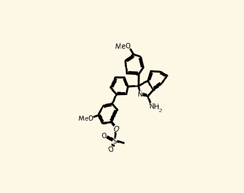 COc1ccc(C2(c3cccc(-c4cc(OC)cc(OS(C)(=O)=O)c4)c3)N=C(N)c3ccccc32)cc1